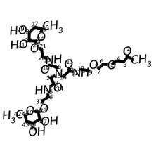 CC(=O)CCOCCOCCNC(=O)CN(CC(=O)NCCO[C@@H]1O[C@@H](C)C[C@@H](O)[C@@H]1O)CC(=O)NCCO[C@@H]1O[C@@H](C)C[C@@H](O)[C@@H]1O